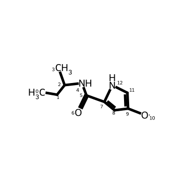 CCC(C)NC(=O)c1cc([O])c[nH]1